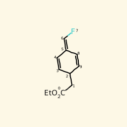 CCOC(=O)CC1C=CC(=CF)C=C1